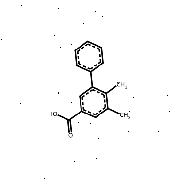 Cc1cc(C(=O)O)cc(-c2ccccc2)c1C